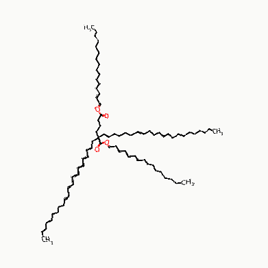 CCCCCCCCCCCCCCCCCCCCCCC(CCCCCCCCCCCCCCCCCCCCCC)(CCCC(=O)OCCCCCCCCCCCCCCCC)C(=O)OCCCCCCCCCCCCCCCC